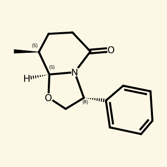 C[C@H]1CCC(=O)N2[C@H](c3ccccc3)CO[C@@H]12